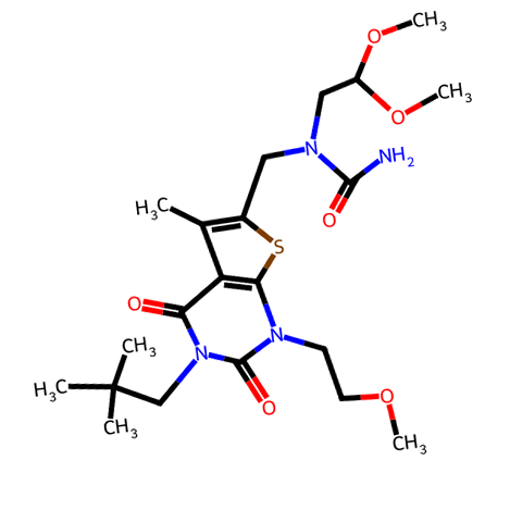 COCCn1c(=O)n(CC(C)(C)C)c(=O)c2c(C)c(CN(CC(OC)OC)C(N)=O)sc21